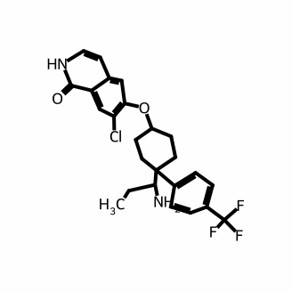 CCC(N)C1(c2ccc(C(F)(F)F)cc2)CCC(Oc2cc3cc[nH]c(=O)c3cc2Cl)CC1